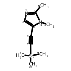 Cc1ncc(C#C[Si](C)(C)C)n1C